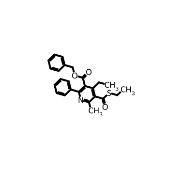 CCSC(=O)c1c(C)nc(-c2ccccc2)c(C(=O)OCc2ccccc2)c1CC